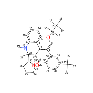 C=C(C)C1c2c(O[Si](C)(C)C(C)(C)C)cccc2N(C)C(C)(C2CCCC2)C1[C@H](O)c1ccc(C(C)(C)C)cc1